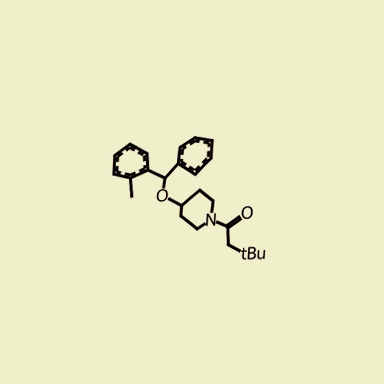 Cc1ccccc1C(OC1CCN(C(=O)CC(C)(C)C)CC1)c1ccccc1